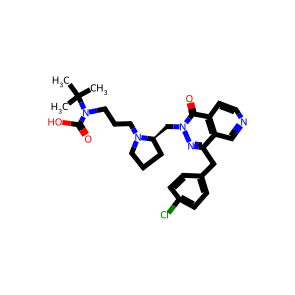 CC(C)(C)N(CCCN1CCC[C@@H]1Cn1nc(Cc2ccc(Cl)cc2)c2cnccc2c1=O)C(=O)O